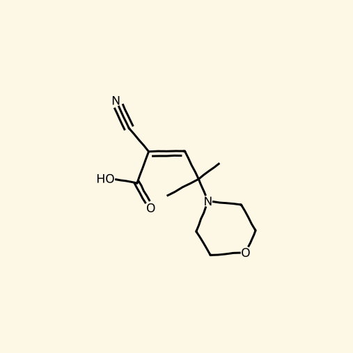 CC(C)(C=C(C#N)C(=O)O)N1CCOCC1